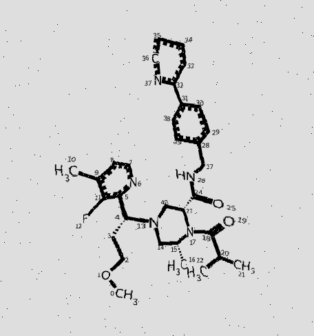 COCC[C@H](c1nccc(C)c1F)N1C[C@@H](C)N(C(=O)C(C)C)[C@@H](C(=O)NCc2ccc(-c3ccccn3)cc2)C1